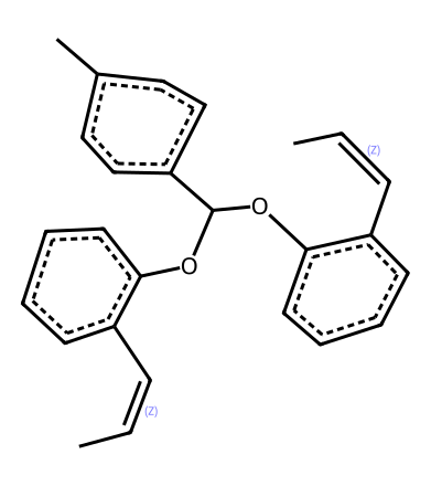 C/C=C\c1ccccc1OC(Oc1ccccc1/C=C\C)c1ccc(C)cc1